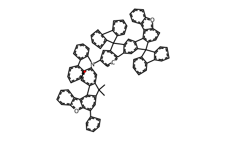 CC1(C)c2cc(N(c3ccc4c(c3)C3(c5ccccc5-c5ccccc53)c3cc5c(cc3-4)C3(c4ccccc4-c4ccccc43)c3ccc4oc6ccccc6c4c3-5)c3ccccc3-c3ccccc3)ccc2-c2c1cc(-c1ccccc1)c1oc3ccccc3c21